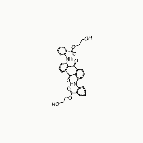 O=C(OCCO)c1ccccc1Nc1cccc2c1C(=O)c1cccc(Nc3ccccc3C(=O)OCCO)c1C2=O